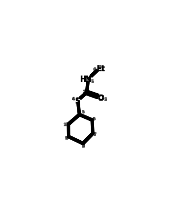 CCNC(=O)SC1CCCCC1